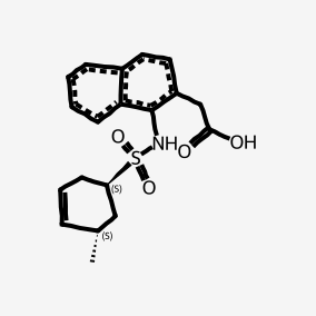 C[C@@H]1C=CC[C@@H](S(=O)(=O)Nc2c(CC(=O)O)ccc3ccccc23)C1